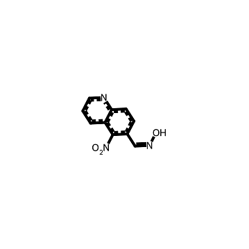 O=[N+]([O-])c1c(/C=N\O)ccc2ncccc12